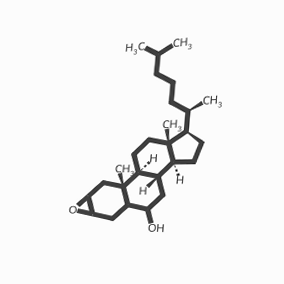 CC(C)CCC[C@@H](C)[C@H]1CC[C@H]2[C@@H]3CC(O)C4CC5OC5C[C@]4(C)[C@H]3CC[C@]12C